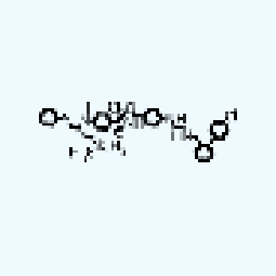 CN(C)CC[C@H](CSc1ccccc1)Nc1ccc(S(=O)(=O)NC(=O)c2ccc(NCCNCc3ccccc3-c3ccc(Cl)cc3)cc2)c(Cl)c1